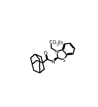 CCOC(=O)Cn1c(=NC(=O)C23CC4CC(CC(C4)C2)C3)sc2ccccc21